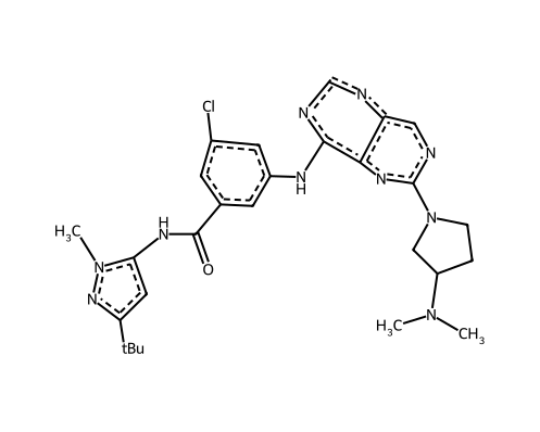 CN(C)C1CCN(c2ncc3ncnc(Nc4cc(Cl)cc(C(=O)Nc5cc(C(C)(C)C)nn5C)c4)c3n2)C1